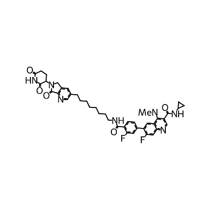 CNc1c(C(=O)NC2CC2)cnc2cc(F)c(-c3ccc(C(=O)NCCCCCCCCc4cnc5c(c4)CN(C4CCC(=O)NC4=O)C5=O)c(F)c3)cc12